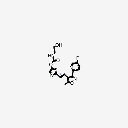 Cc1onc(-c2ccc(F)cn2)c1/C=C/c1ncc(OC(=O)NCCO)s1